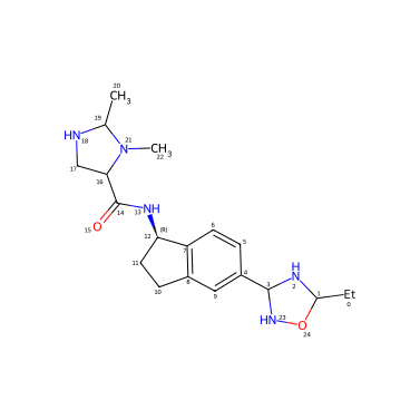 CCC1NC(c2ccc3c(c2)CC[C@H]3NC(=O)C2CNC(C)N2C)NO1